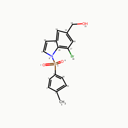 Cc1ccc(S(=O)(=O)n2ccc3cc(CO)cc(Br)c32)cc1